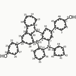 Oc1ccc(-c2cc3c4c(c2)-n2c5ccccc5c5cc(-c6ccc(O)cc6)cc(c52)B4c2ccccc2N3c2ccccc2)cc1